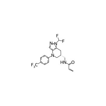 C=CC(=O)NC[C@H]1Cc2c(cnn2C(F)F)N(c2ccc(C(F)(F)F)cc2)C1